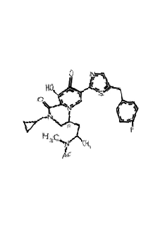 CC(=O)N(C)C(C)C[C@H]1CN(C2CC2)C(=O)c2c(O)c(=O)c(-c3ncc(Cc4ccc(F)cc4)s3)cn21